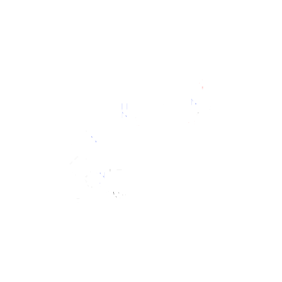 CCc1c(SC)n(C)c2c(CN3CC3CCNC(=O)CCCCCN3C(=O)C=CC3=O)c(O)ccc12